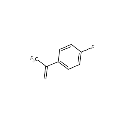 C=C(c1ccc(F)cc1)C(F)(F)F